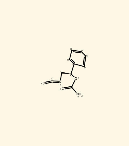 NC(=O)O[C@@H](CN=C=O)c1ccccc1